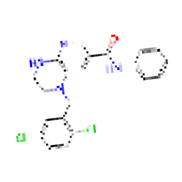 O=C(Nc1ccccc1)c1cnc2c(c1)N(Cc1cc(Cl)ccc1Cl)CCN2